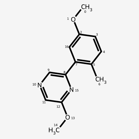 COc1ccc(C)c(-c2cncc(OC)n2)c1